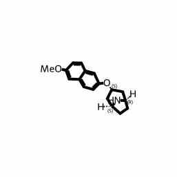 COc1ccc2cc(O[C@@H]3C[C@H]4CC[C@@H](C3)N4)ccc2c1